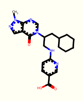 Cn1ncc2c(=O)n(C(CNc3ccc(C(=O)O)cn3)CC3CCCCC3)cnc21